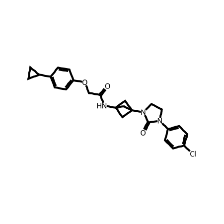 O=C(COc1ccc(C2CC2)cc1)NC12CC(N3CCN(c4ccc(Cl)cc4)C3=O)(C1)C2